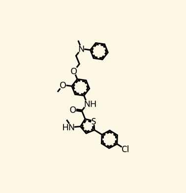 CNc1cc(-c2ccc(Cl)cc2)sc1C(=O)Nc1ccc(OCCN(C)c2ccccc2)c(OC)c1